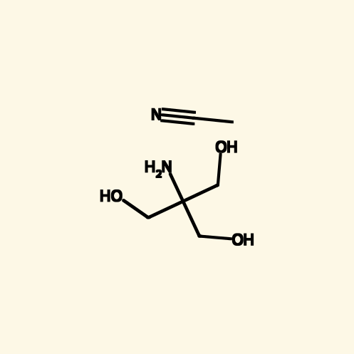 CC#N.NC(CO)(CO)CO